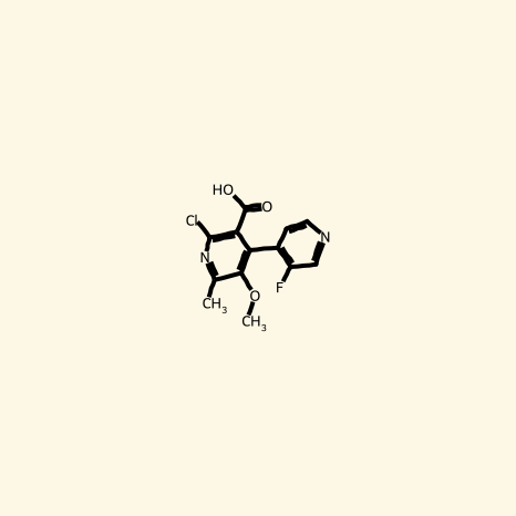 COc1c(C)nc(Cl)c(C(=O)O)c1-c1ccncc1F